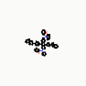 C1=C2C(c3ccc(-c4ccc5ccccc5c4)cc3)=c3ccc(N4c5ccccc5Oc5ccccc54)cc3=C(c3ccc(-c4ccc5ccccc5c4)cc3)C2CC=C1N1c2ccccc2Oc2ccccc21